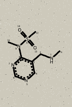 CNCc1cncnc1N(C)S(C)(=O)=O